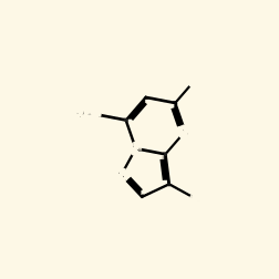 CSc1cc(Cl)nc2c(Br)cnn12